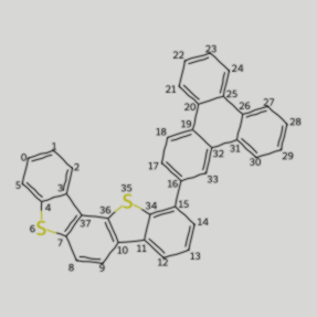 c1ccc2c(c1)sc1ccc3c4cccc(-c5ccc6c7ccccc7c7ccccc7c6c5)c4sc3c12